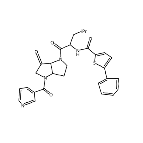 CC(C)CC(NC(=O)c1ccc(-c2ccccc2)s1)C(=O)N1CCC2C1C(=O)CN2C(=O)c1cccnc1